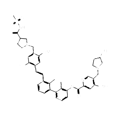 COc1cc(/C=C/c2cccc(-c3cccc(NC(=O)c4cc(OC)c(CN5CC[C@@H](O)C5)cn4)c3C)c2C)c(C(F)(F)F)cc1CN1CCC(C(=O)NS(C)(=O)=O)C1